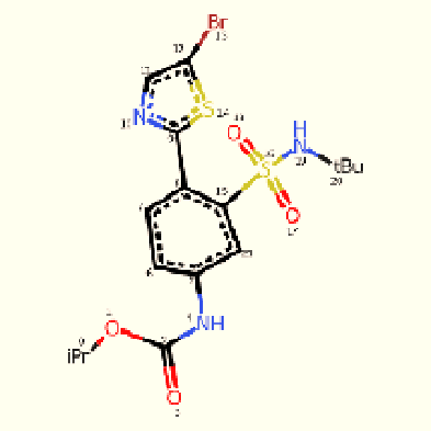 CC(C)OC(=O)Nc1ccc(-c2ncc(Br)s2)c(S(=O)(=O)NC(C)(C)C)c1